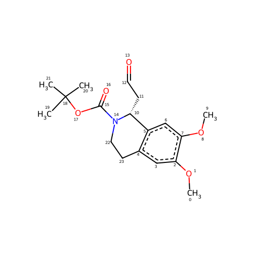 COc1cc2c(cc1OC)[C@@H](CC=O)N(C(=O)OC(C)(C)C)CC2